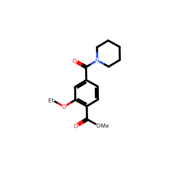 CCOc1cc(C(=O)N2CCCCC2)ccc1C(=O)OC